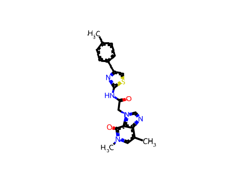 Cc1ccc(-c2csc(NC(=O)Cn3cnc4c(C)cn(C)c(=O)c43)n2)cc1